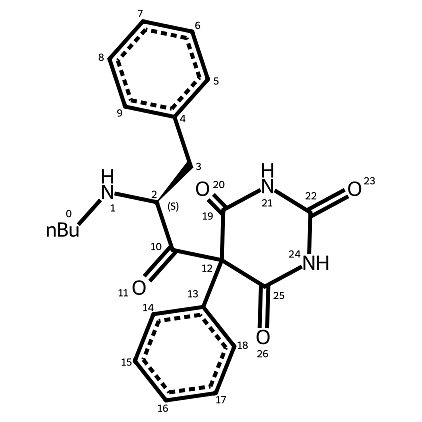 CCCCN[C@@H](Cc1ccccc1)C(=O)C1(c2ccccc2)C(=O)NC(=O)NC1=O